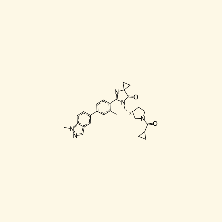 Cc1cc(-c2ccc3c(cnn3C)c2)ccc1C1=NC2(CC2)C(=O)N1C[C@@H]1CCN(C(=O)C2CC2)C1